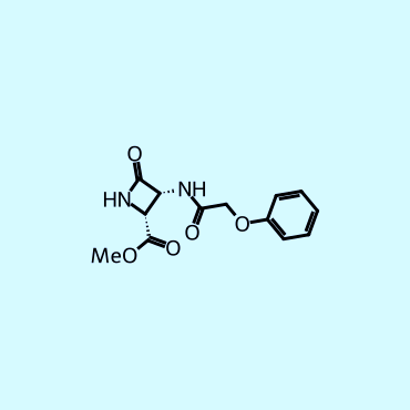 COC(=O)[C@@H]1NC(=O)[C@@H]1NC(=O)COc1ccccc1